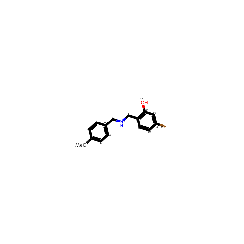 COc1ccc(CNCc2ccc(Br)cc2O)cc1